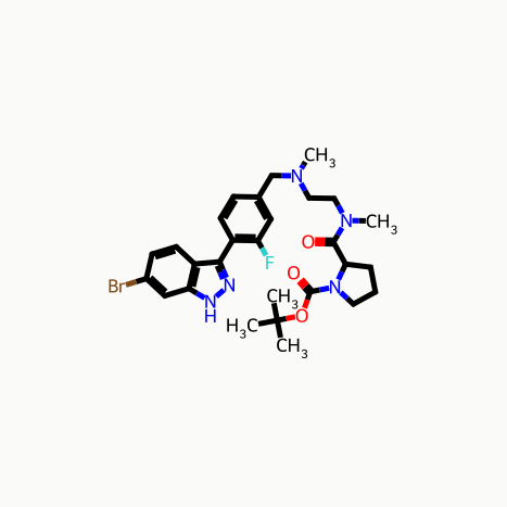 CN(CCN(C)C(=O)C1CCCN1C(=O)OC(C)(C)C)Cc1ccc(-c2n[nH]c3cc(Br)ccc23)c(F)c1